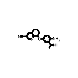 CC(=N)c1cc(OC2CCCc3cc(C#N)cnc32)ccc1N